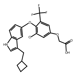 O=C(O)COc1cc(Cl)c(Oc2ccc3[nH]cc(CC4CCC4)c3c2)c(C(F)(F)F)c1